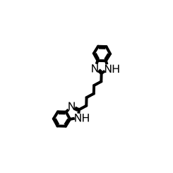 c1ccc2[nH]c(CCCCCc3nc4ccccc4[nH]3)nc2c1